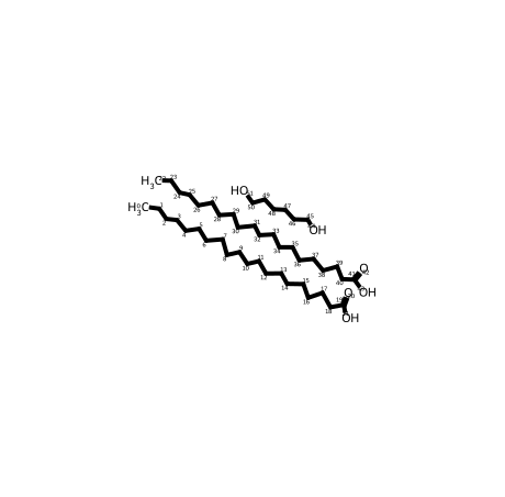 CCCCCCCCCCCCCCCCCCCC(=O)O.CCCCCCCCCCCCCCCCCCCC(=O)O.OCCCCCCO